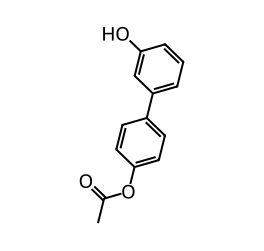 CC(=O)Oc1ccc(-c2cccc(O)c2)cc1